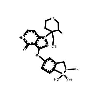 CC(C)(C)N1Cc2cc(Nc3nn(C4(CC#N)CCOCC4F)c4cc[nH]c(=O)c34)ccc2S1(O)O